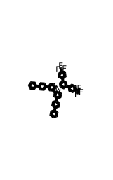 FC(F)(F)c1ccc(-c2cc(-c3ccc(C(F)(F)F)cc3)cc(-n3c4ccc(-c5ccc(-c6ccccc6)cc5)cc4c4cc(-c5ccc(-c6ccccc6)cc5)ccc43)c2)cc1